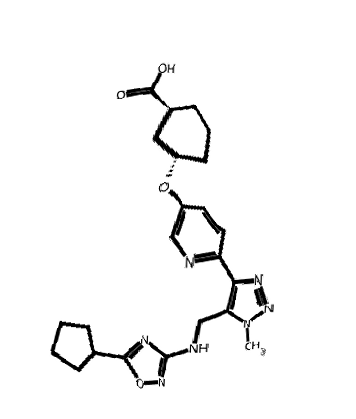 Cn1nnc(-c2ccc(O[C@H]3CCC[C@H](C(=O)O)C3)cn2)c1CNc1noc(C2CCCC2)n1